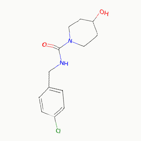 O=C(NCc1ccc(Cl)cc1)N1CCC(O)CC1